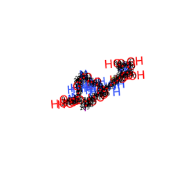 O=C(O)CCC(NC(=O)NC(CCCCNC(=O)Nc1cccc(-c2cnnn2CC(=O)NCC(=O)NCC(=O)NCC(=O)NC(CCCCNC(=S)Nc2ccc(CC(C(=O)O)N3CCN(CC(=O)O)CCN(CC(=O)O)CCN(CC(=O)O)CC3)cc2)C(=O)N[C@@H](CCCCNC(=O)Cc2ccc(I)cc2)C(=O)O)c1)C(=O)O)C(=O)O